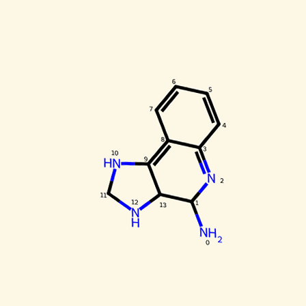 NC1N=c2ccccc2=C2NCNC21